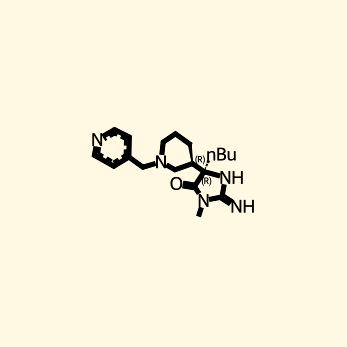 CCCC[C@]1([C@@H]2CCCN(Cc3ccncc3)C2)NC(=N)N(C)C1=O